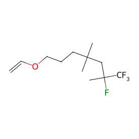 C=COCCCC(C)(C)CC(C)(F)C(F)(F)F